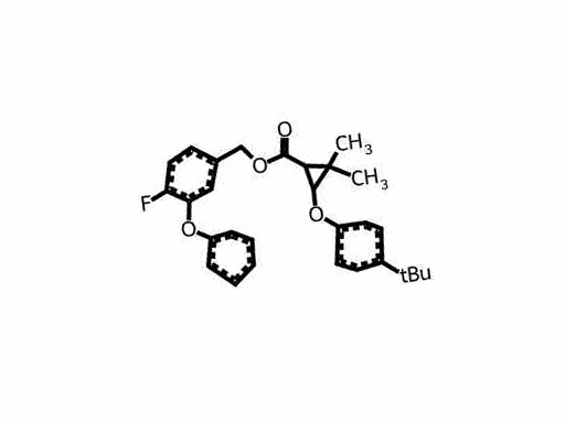 CC(C)(C)c1ccc(OC2C(C(=O)OCc3ccc(F)c(Oc4ccccc4)c3)C2(C)C)cc1